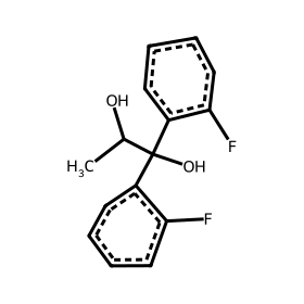 CC(O)C(O)(c1ccccc1F)c1ccccc1F